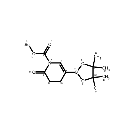 CC(C)(C)OC(=O)N1C=C(B2OC(C)(C)C(C)(C)O2)CCC1=O